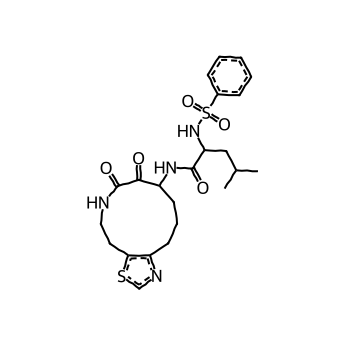 CC(C)CC(NS(=O)(=O)c1ccccc1)C(=O)NC1CCCc2ncsc2CCNC(=O)C1=O